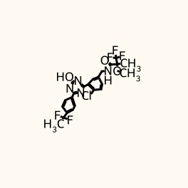 COC(C)(C(=O)NCc1ccc(Cl)c(-c2nc(O)nc(-c3ccc(C(C)(F)F)cc3)n2)c1)C(F)(F)F